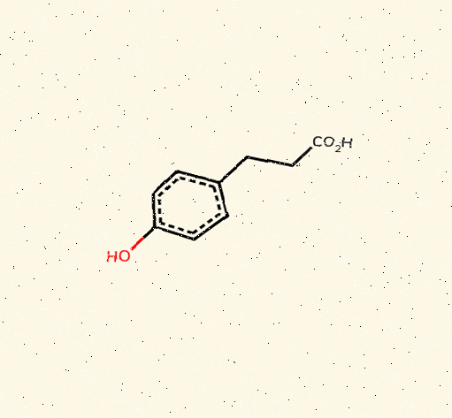 O=C(O)[CH]Cc1ccc(O)cc1